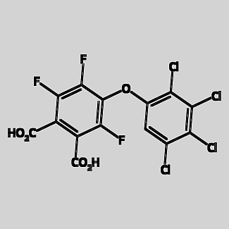 O=C(O)c1c(F)c(F)c(Oc2cc(Cl)c(Cl)c(Cl)c2Cl)c(F)c1C(=O)O